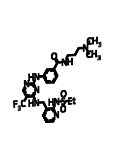 CCS(=O)(=O)Nc1ncccc1CNc1nc(Nc2cccc(C(=O)NCCCN(C)C)c2)ncc1C(F)(F)F